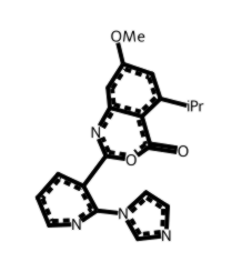 COc1cc(C(C)C)c2c(=O)oc(-c3cccnc3-n3ccnc3)nc2c1